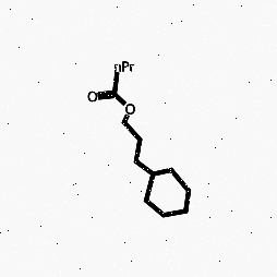 CCCC(=O)OCCCC1CCCCC1